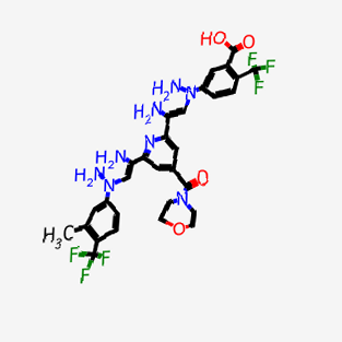 Cc1cc(N(N)/C=C(\N)c2cc(C(=O)N3CCOCC3)cc(/C(N)=C/N(N)c3ccc(C(F)(F)F)c(C(=O)O)c3)n2)ccc1C(F)(F)F